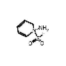 N[N+]1(S(=O)(=O)F)C=CC=CC1